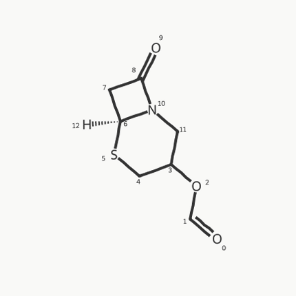 O=COC1CS[C@H]2CC(=O)N2C1